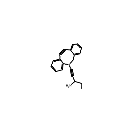 CCC(N)C#CN1Cc2ccccc2C#Cc2ccccc21